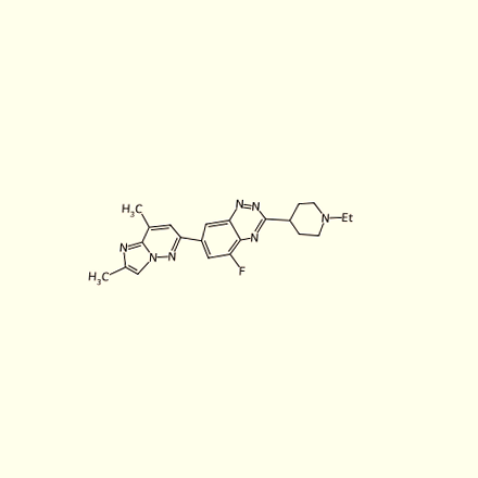 CCN1CCC(c2nnc3cc(-c4cc(C)c5nc(C)cn5n4)cc(F)c3n2)CC1